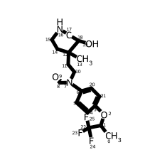 CC(Oc1ccc(N(C=O)CCC2(C)CCNCC2O)cc1)C(F)(F)F